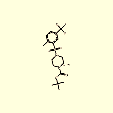 Cc1ccc(C(F)(F)F)cc1S(=O)(=O)N1CCN(C(=O)OC(C)(C)C)[C@@H](C)C1